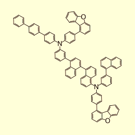 c1ccc(-c2ccc(-c3ccc(N(c4ccc(-c5cccc6oc7ccccc7c56)cc4)c4cccc(-c5ccc(-c6cccc7c(N(c8ccc(-c9cccc%10oc%11ccccc%11c9%10)cc8)c8cccc(-c9cccc%10ccccc9%10)c8)cccc67)c6ccccc56)c4)cc3)cc2)cc1